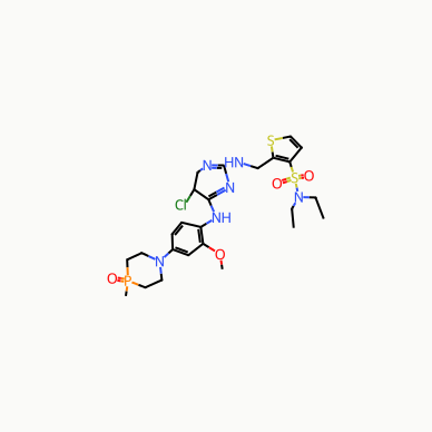 CCN(CC)S(=O)(=O)c1ccsc1CNC1=NCC(Cl)C(Nc2ccc(N3CCP(C)(=O)CC3)cc2OC)=N1